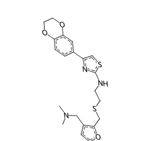 CN(C)Cc1ccoc1CSCCNc1nc(-c2ccc3c(c2)OCCO3)cs1